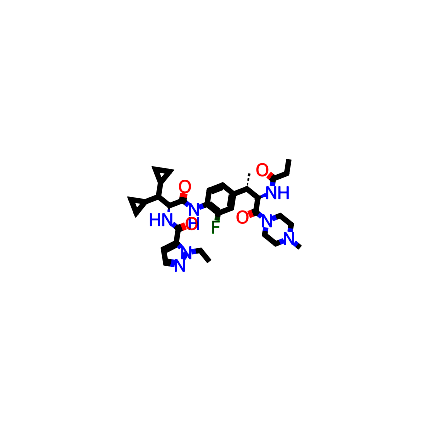 CCC(=O)N[C@@H](C(=O)N1CCN(C)CC1)[C@@H](C)c1ccc(NC(=O)[C@H](NC(=O)c2ccnn2CC)C(C2CC2)C2CC2)c(F)c1